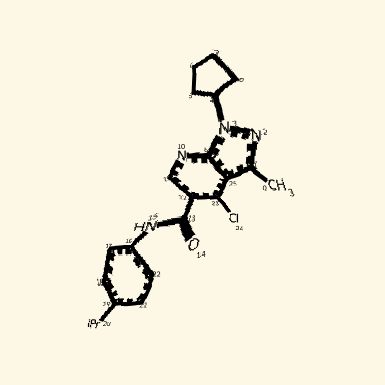 Cc1nn(C2CCCC2)c2ncc(C(=O)Nc3ccc(C(C)C)cc3)c(Cl)c12